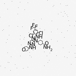 NC(=O)[C@H]1CC[C@@H](n2c(Nc3c(Cl)cc(C(F)(F)F)cc3Cl)nc3cnc(NC4CCOCC4)nc32)CC1